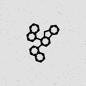 c1ccc2c(c1)Cc1c-2ccc(-c2cccc3ccccc23)c1-c1cccc2ccccc12